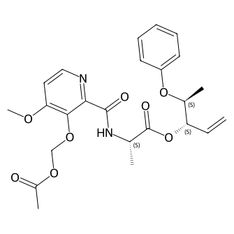 C=C[C@H](OC(=O)[C@H](C)NC(=O)c1nccc(OC)c1OCOC(C)=O)[C@H](C)Oc1ccccc1